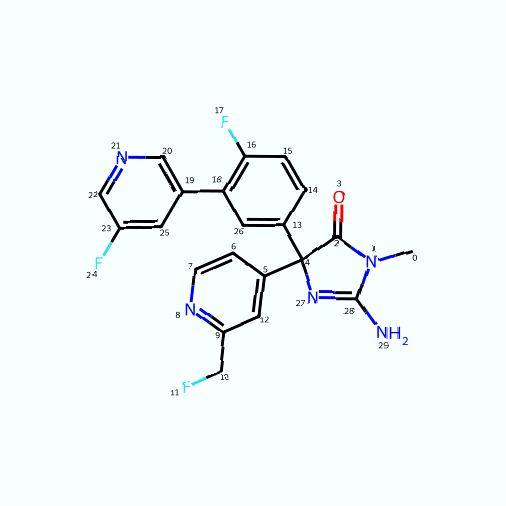 CN1C(=O)C(c2ccnc(CF)c2)(c2ccc(F)c(-c3cncc(F)c3)c2)N=C1N